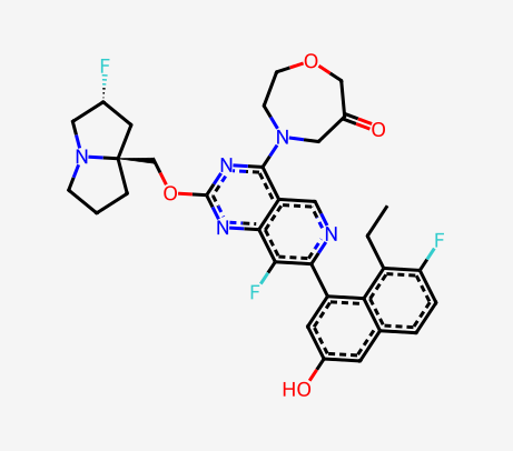 CCc1c(F)ccc2cc(O)cc(-c3ncc4c(N5CCOCC(=O)C5)nc(OC[C@@]56CCCN5C[C@H](F)C6)nc4c3F)c12